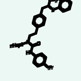 CCCCCCCN(CCc1ccc(CC(Sc2ccccc2)C(=O)O)cc1)C(=O)Nc1ccc(C(C)C)cc1